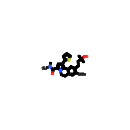 COc1cc2c(cc1CCC(C)(C)O)-c1c(-c3cccs3)cc(C(=O)N(C)C(C)(C)C)n1CC2